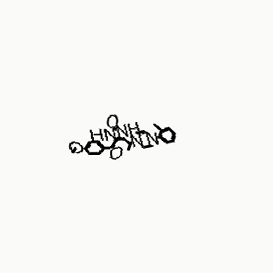 COc1ccc(C(=O)c2[nH]c(=O)[nH]c2C(C)N2CCN(c3ccccc3C)CC2)cc1